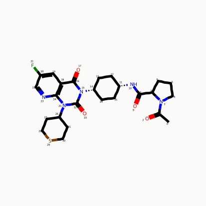 CC(=O)N1CCCC1C(=O)N[C@H]1CC[C@@H](n2c(=O)c3cc(F)cnc3n(C3CCSCC3)c2=O)CC1